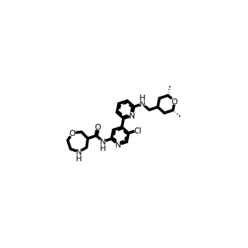 C[C@@H]1CC(CNc2cccc(-c3cc(NC(=O)C4CNCCOC4)ncc3Cl)n2)C[C@H](C)O1